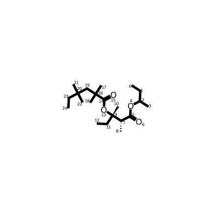 CCC(C)OC(=O)[C@H](C)[C@](C)(CC)OC(=O)C(C)(C)CC(C)(C)CC